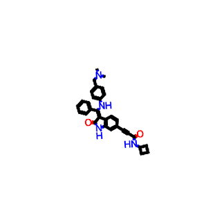 CN(C)Cc1ccc(NC(=C2C(=O)Nc3cc(C#CC(=O)NC4CCC4)ccc32)c2ccccc2)cc1